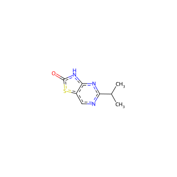 CC(C)c1ncc2sc(=O)[nH]c2n1